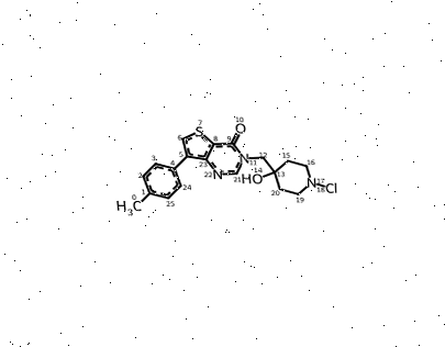 Cc1ccc(-c2csc3c(=O)n(CC4(O)CCN(Cl)CC4)cnc23)cc1